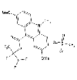 COc1ccc2c(c1)c(C(=O)OC(F)(C(F)F)C(F)(F)F)c1cc(OC)ccc1[n+]2C.O=S(=O)([O-])C(F)(F)F